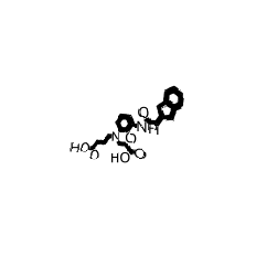 O=C(O)CCCN1CC(C(=O)O)Oc2c(NC(=O)CC3Cc4ccccc4C3)cccc21